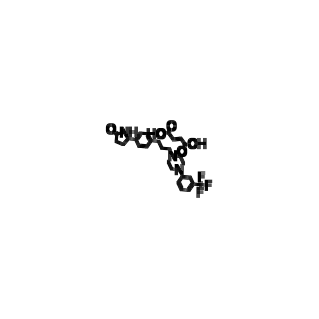 O=C(O)C=CC(=O)O.O=C1CCC(c2ccc(CCCN3CCN(c4cccc(C(F)(F)F)c4)CC3)cc2)N1